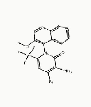 COc1ccc2ccccc2c1-n1c(C(F)(F)F)cc(Br)c(N)c1=O